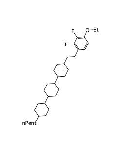 CCCCCC1CCC(C2CCC(C3CCC(CCc4ccc(OCC)c(F)c4F)CC3)CC2)CC1